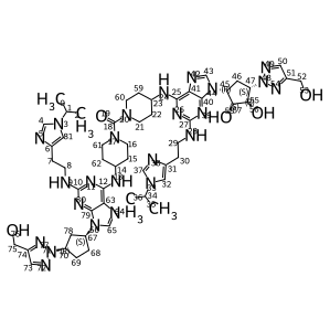 CC(C)n1cnc(CCNc2nc(NC3CCN(C(=O)N4CCC(Nc5nc(NCCc6cn(C(C)C)cn6)nc6c5ncn6[C@@H]5C[C@H](n6ncc(CO)n6)[C@@H](O)[C@H]5O)CC4)CC3)c3ncn([C@H]4CC[C@@H](n5ncc(CO)n5)C4)c3n2)c1